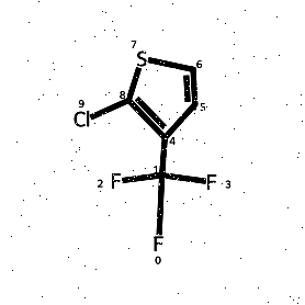 FC(F)(F)c1[c]csc1Cl